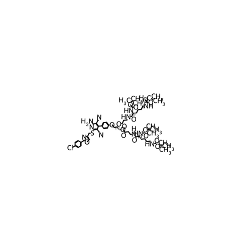 CC(C)(C)OC(=O)NCCCC[C@H](NC(=O)OC(C)(C)C)C(=O)NCCC(=O)OC[C@H](COc1ccc(-c2c(C#N)c(N)nc(SCc3coc(-c4ccc(Cl)cc4)n3)c2C#N)cc1)OC(=O)CCNC(=O)[C@H](CCCCNC(=O)OC(C)(C)C)NC(=O)OC(C)(C)C